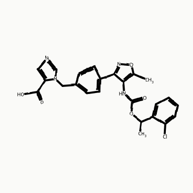 Cc1onc(-c2ccc(Cn3cncc3C(=O)O)cc2)c1NC(=O)OC(C)c1ccccc1Cl